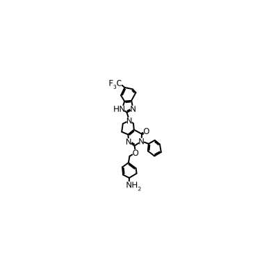 NC1C=CC(COc2nc3c(c(=O)n2-c2ccccc2)CN(c2nc4ccc(C(F)(F)F)cc4[nH]2)CC3)=CC1